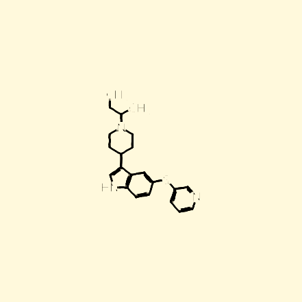 CCC(C)N1CCC(c2c[nH]c3ccc(Sc4cccnc4)cc23)CC1